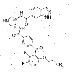 CCCOc1ccc(F)c(F)c1C(=O)c1ccc(C(=O)N[C@@H]2CNC[C@H]2NC(=O)c2ccc3cn[nH]c3c2)cc1